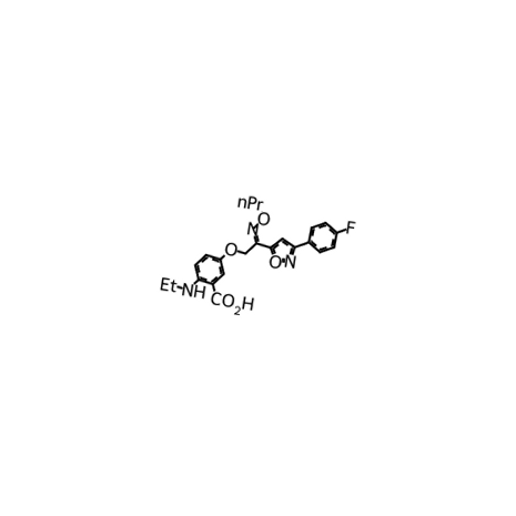 CCCON=C(COc1ccc(NCC)c(C(=O)O)c1)c1cc(-c2ccc(F)cc2)no1